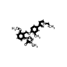 CCn1ccc(-c2ccc(OCc3c(OC)cccc3-n3nnn(C)c3=O)c(C)c2)n1